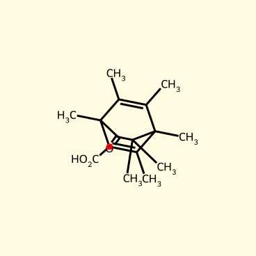 CC1=C(C)C2(C)C(C)=C(C(=O)O)C1(C)C(=O)C2(C)C